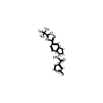 [2H]C([2H])([2H])c1nc(-c2ccc3c(c2)CC[C@H]3NC(=O)c2ccnc(C)c2)no1